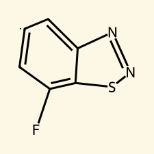 Fc1c[c]cc2nnsc12